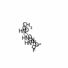 CCOC(=O)N[C@H]1CC[C@@H](NC(=O)c2c[nH]c3c(-c4ccc(F)cc4OCC4CC4)ncnc23)CC1